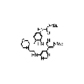 CN/C=C(\C(=N)Nc1cc(NC(=O)OC(C)(C)C)ccc1C)c1cc(NCCN2CCOCC2)ncn1